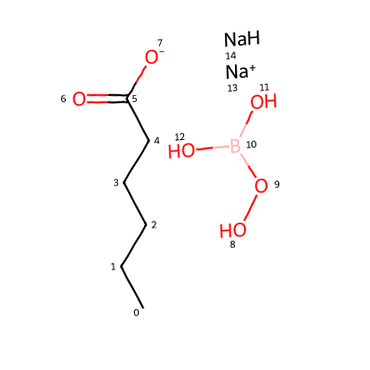 CCCCCC(=O)[O-].OOB(O)O.[Na+].[NaH]